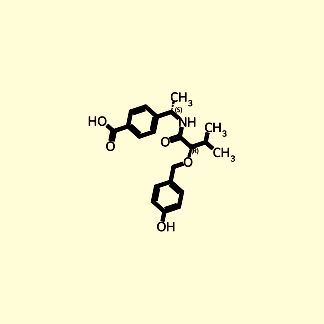 CC(C)[C@@H](OCc1ccc(O)cc1)C(=O)N[C@@H](C)c1ccc(C(=O)O)cc1